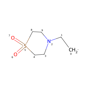 [CH2]CN1CCS(=O)(=O)CC1